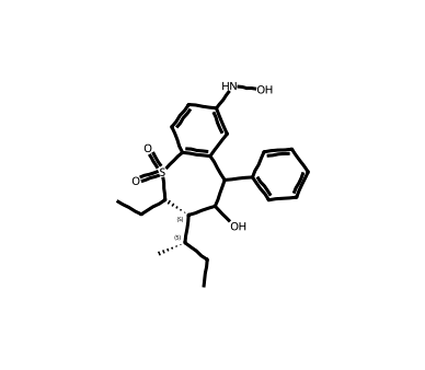 CCC1[C@@H]([C@@H](C)CC)C(O)C(c2ccccc2)c2cc(NO)ccc2S1(=O)=O